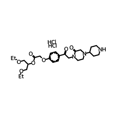 CCOCC(COCC)OC(=O)COc1ccc(C(=O)CN2CCN(C3CCNCC3)CC2=O)cc1.Cl.Cl